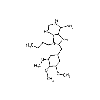 CCCCN1C(CC2CC(OC)C(OC)C(OC)C2)NC2C(N)NCNC21